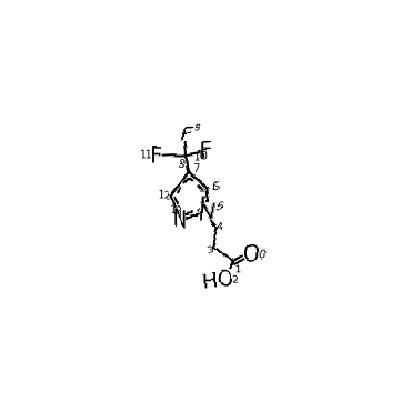 O=C(O)CCn1cc(C(F)(F)F)cn1